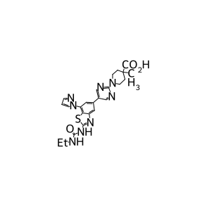 CCNC(=O)Nc1nc2cc(-c3cnc(N4CCC(C)(C(=O)O)CC4)nc3)cc(-n3cccn3)c2s1